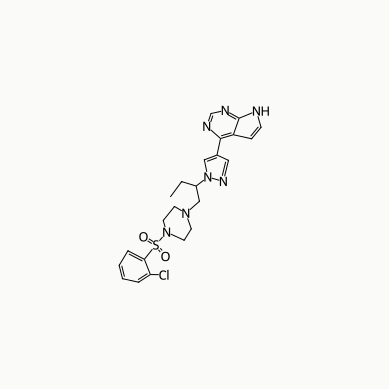 CCC(CN1CCN(S(=O)(=O)c2ccccc2Cl)CC1)n1cc(-c2ncnc3[nH]ccc23)cn1